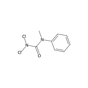 CN(C(=O)N(Cl)Cl)c1ccccc1